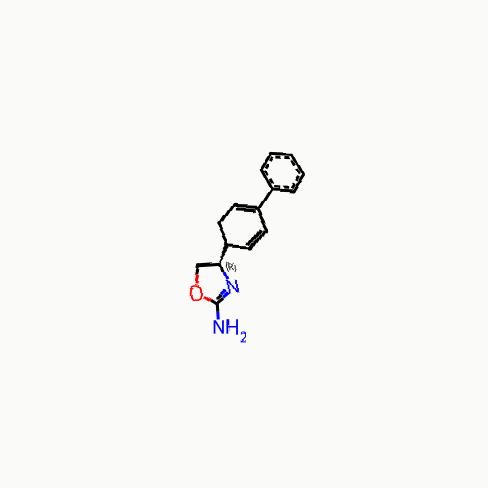 NC1=N[C@H](C2C=CC(c3ccccc3)=CC2)CO1